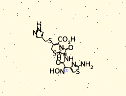 Nc1nc(/C(=N/O)C(=O)N[C@@H]2C(=O)N3C(C(=O)O)=C(SCc4cn[nH]c4)CS[C@@H]23)cs1